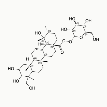 C[C@@H]1CC[C@]2(C(=O)OOC3O[C@H](CO)[C@@H](O)[C@H](O)[C@H]3O)CC[C@]3(C)C(=CC[C@@H]4[C@@]5(C)CC(O)C(O)C(C)(CO)C5CC[C@]43C)[C@@H]2[C@]1(C)O